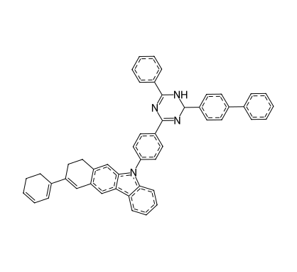 C1=CCCC(C2=Cc3cc4c5ccccc5n(-c5ccc(C6=NC(c7ccc(-c8ccccc8)cc7)NC(c7ccccc7)=N6)cc5)c4cc3CC2)=C1